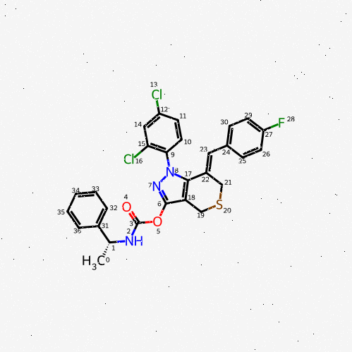 C[C@@H](NC(=O)Oc1nn(-c2ccc(Cl)cc2Cl)c2c1CSC/C2=C\c1ccc(F)cc1)c1ccccc1